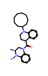 CC(=O)N1c2ccccc2N(C(=O)C2CCN(C3CCCCCCCC3)c3ccccc32)C[C@@H]1C